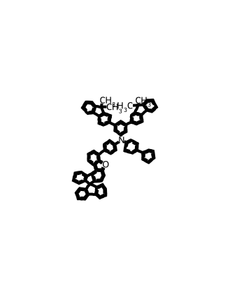 CC1(C)c2ccccc2-c2ccc(-c3cc(-c4ccc5c(c4)C(C)(C)c4ccccc4-5)cc(N(c4ccc(-c5ccccc5)cc4)c4ccc(-c5cccc6c5oc5ccc7c(c56)-c5ccccc5C75c6ccccc6-c6ccccc65)cc4)c3)cc21